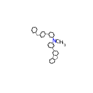 CN(c1cccc(-c2ccc(Cc3ccccc3)cc2)c1)c1cccc(-c2ccc3c(c2)-c2ccccc2C3)c1